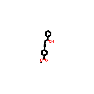 COC(=O)c1ccc(C#CCC(O)c2ccccc2)cc1